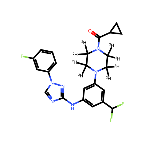 [2H]C1([2H])N(C(=O)C2CC2)C([2H])([2H])C([2H])([2H])N(c2cc(Nc3ncn(-c4cccc(F)c4)n3)cc(C(F)F)c2)C1([2H])[2H]